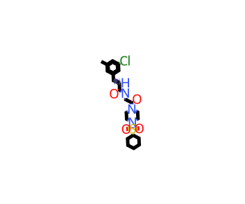 Cc1cc(Cl)cc(/C=C/C(=O)NCC(=O)N2CCN(S(=O)(=O)C3CCCCC3)CC2)c1